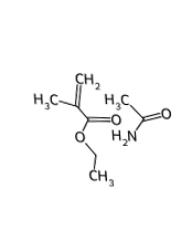 C=C(C)C(=O)OCC.CC(N)=O